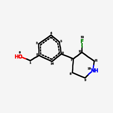 OCc1cccc(C2CCNCC2F)c1